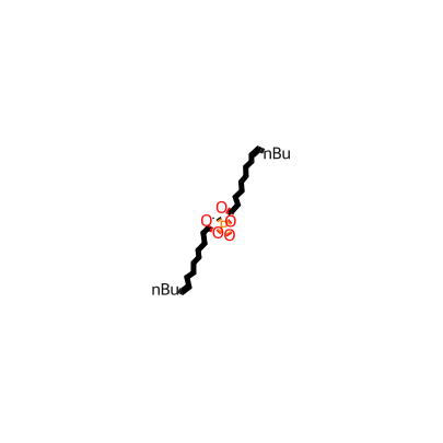 [CH2]P(=O)(OC(=O)CCCCCCC/C=C\CCCC)OC(=O)CCCCCCC/C=C\CCCC